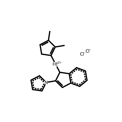 CC1=CC[C]([Hf+2][CH]2C(n3cccc3)=Cc3ccccc32)=C1C.[Cl-].[Cl-]